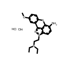 CCN(CC)CCn1nc2c3c(c(N)ccc31)Sc1ccc(OC)cc1-2.Cl.Cl